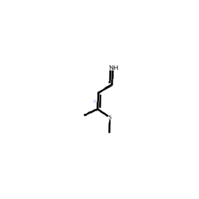 CS/C(C)=C\C=N